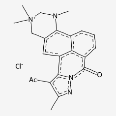 CC(=O)c1c(C)nn2c(=O)c3cccc4c5c(cc(c43)c12)C[N+](C)(C)CN5C.[Cl-]